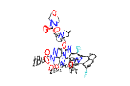 C=C1CN2[C@H](COC(=O)N3CCOCC3)CC[C@]2(COc2nc3c4c(nc(-c5cccc6ccc(F)c(C#C[Si](C(C)C)(C(C)C)C(C)C)c56)c(F)c4n2)OCCN3C(C)c2cccnc2N(C(=O)OC(C)(C)C)C(=O)OC(C)(C)C)C1